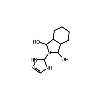 OC1C2CCCCC2C(O)N1C1NC=NN1